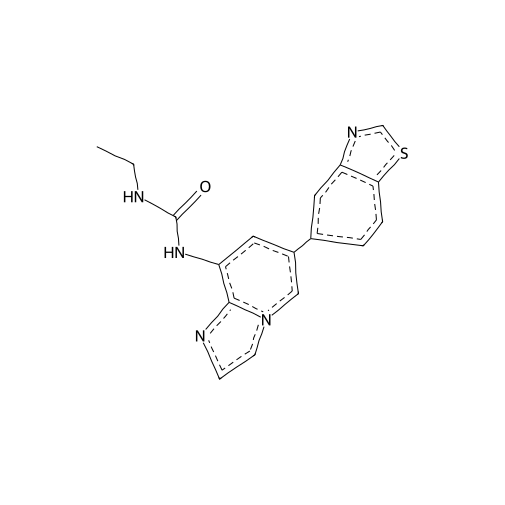 CCNC(=O)Nc1cc(-c2ccc3scnc3c2)cn2ccnc12